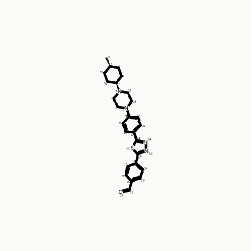 C[C@H]1CC[C@@H](N2CCN(c3ccc(-c4nnc(-c5ccc([C]=O)cc5)s4)cc3)CC2)CC1